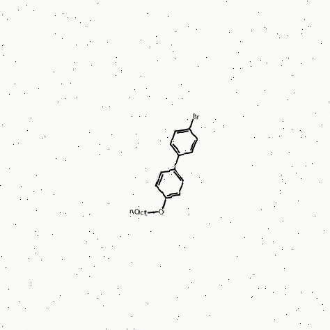 CCCCCCCCOc1ccc(-c2ccc(Br)cc2)cc1